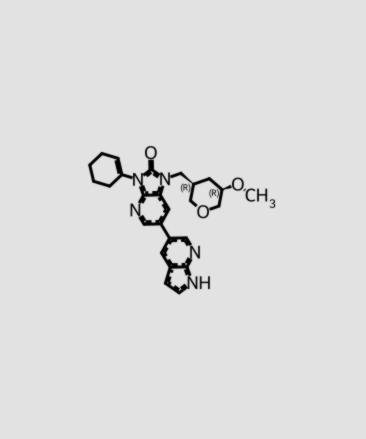 CO[C@H]1COC[C@@H](Cn2c(=O)n(C3=CCCCC3)c3ncc(-c4cnc5[nH]ccc5c4)cc32)C1